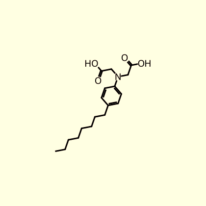 CCCCCCCCc1ccc(N(CC(=O)O)CC(=O)O)cc1